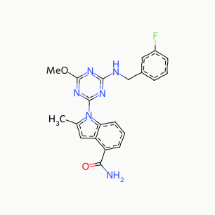 COc1nc(NCc2cccc(F)c2)nc(-n2c(C)cc3c(C(N)=O)cccc32)n1